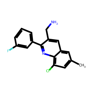 Cc1cc(Cl)c2nc(-c3cccc(F)c3)c(CN)cc2c1